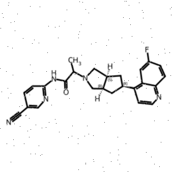 CC(C(=O)Nc1ccc(C#N)cn1)N1C[C@H]2C[C@@H](c3ccnc4ccc(F)cc34)C[C@H]2C1